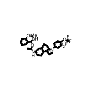 C=C(Nc1ccc2c(ccc3c2ccn3-c2ccc(OC(F)(F)P)cc2)c1)OC(BC)c1ccccc1OC